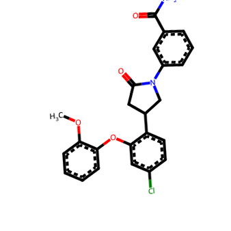 COc1ccccc1Oc1cc(Cl)ccc1C1CC(=O)N(c2cccc(C(N)=O)c2)C1